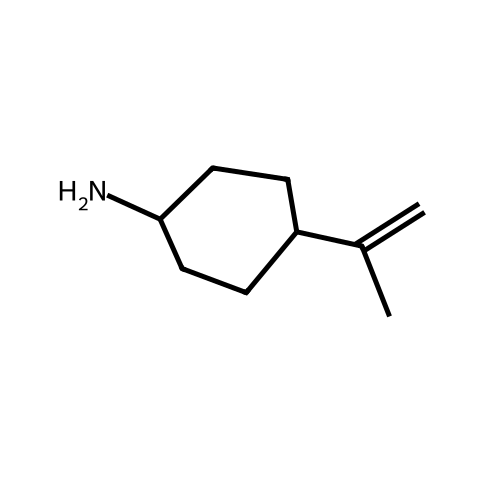 C=C(C)C1CCC(N)CC1